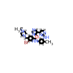 Cc1ccc(NC(=O)c2ccc(CN3CCN(C)CC3)c(Br)c2)cc1Nc1nccc(-c2cncnc2)n1